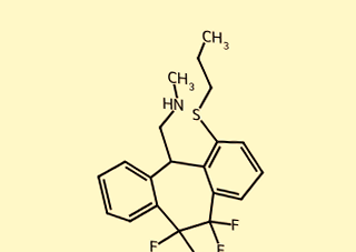 CCCSc1cccc2c1C(CNC)c1ccccc1C(F)(F)C2(F)F